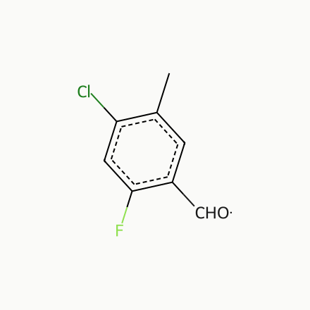 Cc1cc([C]=O)c(F)cc1Cl